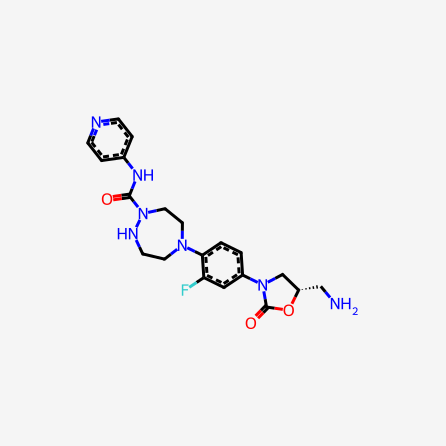 NC[C@H]1CN(c2ccc(N3CCNN(C(=O)Nc4ccncc4)CC3)c(F)c2)C(=O)O1